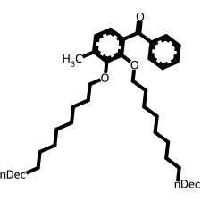 CCCCCCCCCCCCCCCCCCOc1c(C)ccc(C(=O)c2ccccc2)c1OCCCCCCCCCCCCCCCCCC